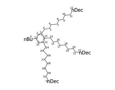 [CH2]CCCc1cc(CCCCCCCCCCCCCCCCCC)c(CCCCCCCCCCCCCCCCCC)c(CCCCCCCCCCCCCCCCCC)c1